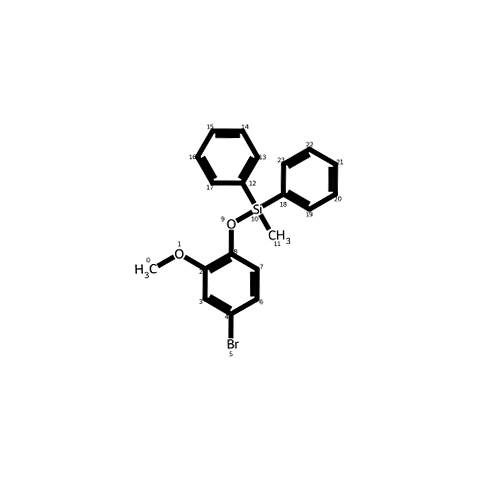 COc1cc(Br)ccc1O[Si](C)(c1ccccc1)c1ccccc1